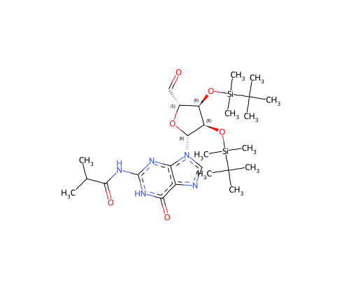 CC(C)C(=O)Nc1nc2c(ncn2[C@@H]2O[C@H](C=O)[C@@H](O[Si](C)(C)C(C)(C)C)[C@H]2O[Si](C)(C)C(C)(C)C)c(=O)[nH]1